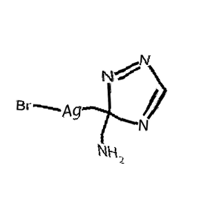 N[C]1([Ag][Br])N=CN=N1